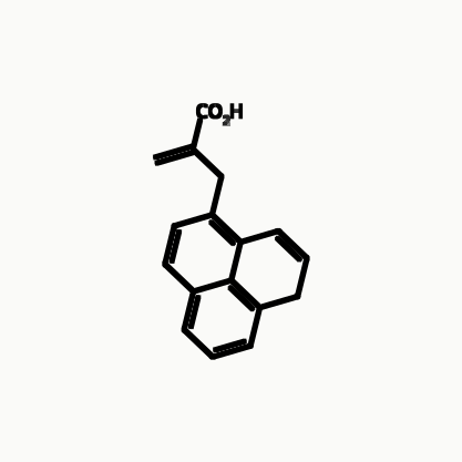 C=C(Cc1ccc2cccc3c2c1C=CC3)C(=O)O